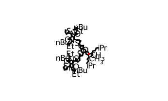 CCCCC(CC)CN1C(=O)C2=C(c3ccc(-c4cc5c(s4)-c4sc(-c6ccc(C7=C8C(=O)N(CC(CC)CCCC)C(c9cccs9)=C8C(=O)N7CC(CC)CCCC)s6)cc4C(CCC(C)CCCC(C)C)(CCC(C)CCCC(C)C)O5)s3)N(CC(CC)CCCC)C(=O)C2=C1c1cccs1